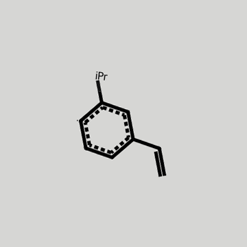 C=Cc1cc[c]c(C(C)C)c1